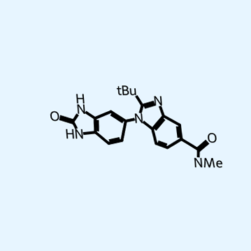 CNC(=O)c1ccc2c(c1)nc(C(C)(C)C)n2-c1ccc2[nH]c(=O)[nH]c2c1